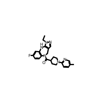 CCn1ncc2c1Nc1cc(F)ccc1N(C(=O)C1CCN(c3ccc(C)cn3)CC1)C2